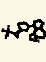 FC(F)(F)[C]1CC1N1CCC(c2ccnc3cnc4[nH]ccc4c23)C1